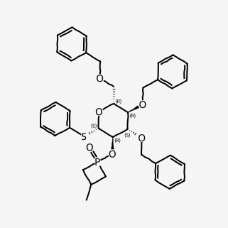 CC1CP(=O)(O[C@@H]2[C@@H](OCc3ccccc3)[C@H](OCc3ccccc3)[C@@H](COCc3ccccc3)O[C@H]2Sc2ccccc2)C1